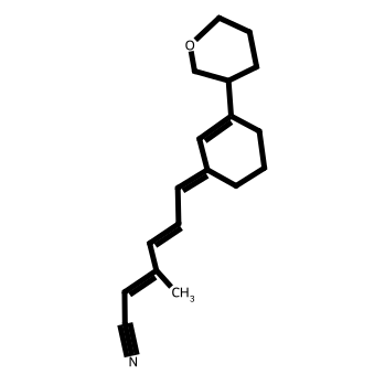 CC(/C=C/C=C1/C=C(C2CCCOC2)CCC1)=C\C#N